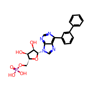 O=P(O)(O)OC[C@H]1O[C@@H](n2cnc3c(-c4cccc(-c5ccccc5)c4)ncnc32)[C@H](O)[C@@H]1O